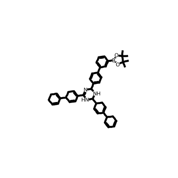 CC1(C)OB(c2cccc(-c3ccc(C4N=C(C5=CCC(C6=CCCC=C6)C=C5)NC(C5C=CC(C6C=CC=CC6)=CC5)N4)cc3)c2)OC1(C)C